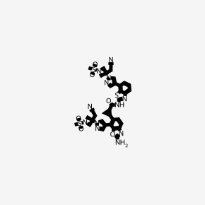 CS(=O)(=O)N1CC(CC#N)(n2cc(-c3c(C4CC4C(=O)Nc4nc5cccc(-c6cnn(C7(CC#N)CN(S(C)(=O)=O)C7)c6)c5s4)ccc4nc(N)oc34)cn2)C1